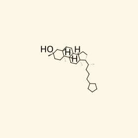 C[C@H](CCCC1CCCC1)[C@H]1CC[C@H]2[C@@H]3CC=C4C[C@@](C)(O)CC[C@]4(C)[C@H]3CC[C@]12C